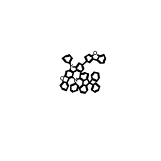 c1ccc(N(c2cccc3c2-c2ccccc2C3(c2ccccc2)c2ccccc2)c2c3c(cc4c2c2ccc(-c5ccc6oc7ccccc7c6c5)cc2n4-c2ccccc2)oc2ccccc23)cc1